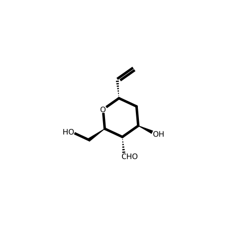 C=C[C@@H]1C[C@@H](O)[C@H](C=O)[C@@H](CO)O1